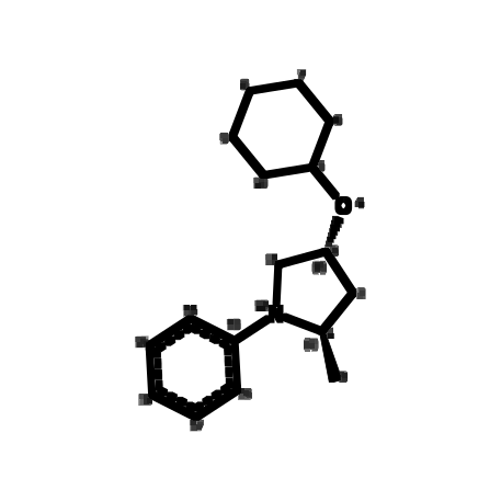 C[C@@H]1C[C@@H](OC2CCCCC2)CN1c1ccccc1